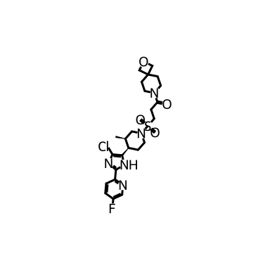 C[C@H]1CN(S(=O)(=O)CCC(=O)N2CCC3(CC2)COC3)CC[C@H]1c1[nH]c(-c2ccc(F)cn2)nc1Cl